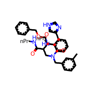 CCCNC(=O)C(CN(Cc1cccc(C)c1)C(=O)C(Cc1c[nH]cn1)NC(=O)OCc1ccccc1)C(CCC)c1ccccc1